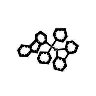 c1ccc([Si](c2ccccc2)(c2cccc3c2sc2ccccc23)[SH]2c3ccccc3-c3ccccc32)cc1